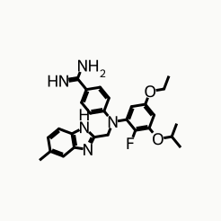 CCOc1cc(OC(C)C)c(F)c(N(Cc2nc3cc(C)ccc3[nH]2)c2ccc(C(=N)N)cc2)c1